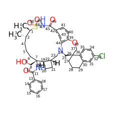 C[C@@H]1[C@@H](C)CCC[C@@](CO)(NC(=O)c2ccccc2)[C@@H]2CC[C@H]2CN2C[C@@]3(CCCc4cc(Cl)ccc43)COc3ccc(cc32)C(=O)NS1(=O)=O